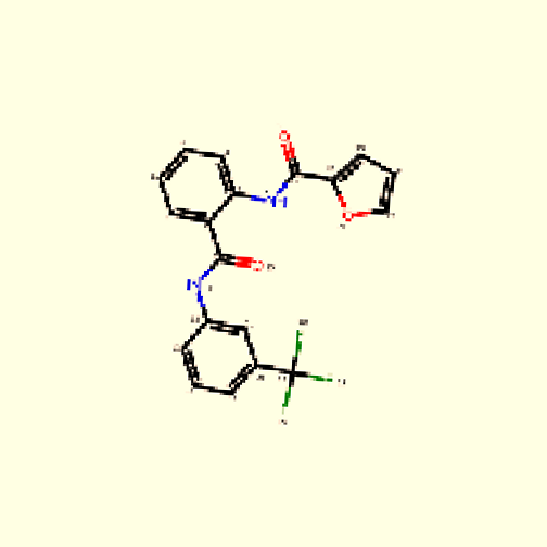 O=C(Nc1ccccc1C(=O)Nc1cccc(C(F)(F)F)c1)c1ccco1